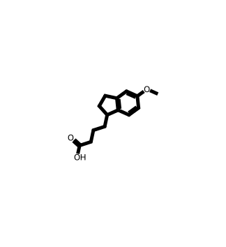 COc1ccc2c(c1)CCC2CCCC(=O)O